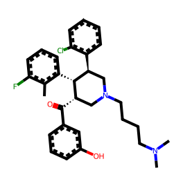 Cc1c(F)cccc1[C@H]1[C@@H](C(=O)c2cccc(O)c2)CN(CCCCN(C)C)C[C@@H]1c1cc[c]cc1Cl